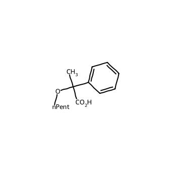 CCCCCOC(C)(C(=O)O)c1ccccc1